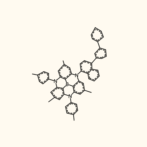 Cc1ccc(N2c3cc(C)cc4c3B3c5c2cc(C)cc5N(c2ccc(-c5cccc(-c6ccccc6)c5)c5ccccc25)c2cc(C)cc(c23)N4c2ccc(C)cc2)cc1